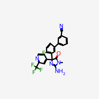 CN1C(=O)C(c2ccnc(C(F)(F)F)c2)(c2cc(-c3cccc(C#N)c3)ccc2F)N=C1N